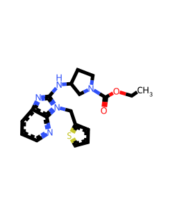 CCOC(=O)N1CCC(Nc2nc3cccnc3n2Cc2cccs2)C1